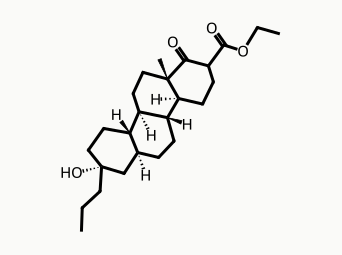 CCC[C@@]1(O)CC[C@H]2[C@@H](CC[C@@H]3[C@@H]2CC[C@]2(C)C(=O)C(C(=O)OCC)CC[C@@H]32)C1